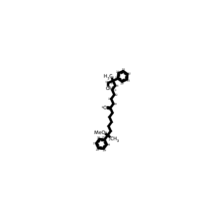 COC(C)(CCCCCC(=O)CCCCCC(C)(CO)c1ccccc1)c1ccccc1